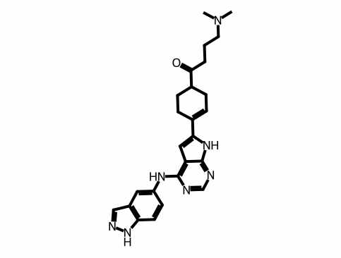 CN(C)CCCC(=O)C1CC=C(c2cc3c(Nc4ccc5[nH]ncc5c4)ncnc3[nH]2)CC1